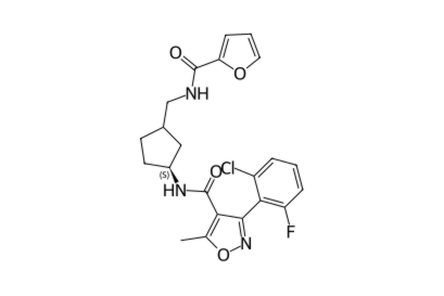 Cc1onc(-c2c(F)cccc2Cl)c1C(=O)N[C@H]1CCC(CNC(=O)c2ccco2)C1